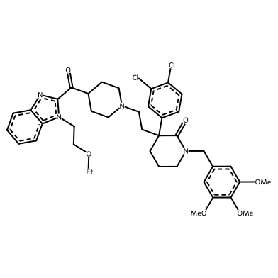 CCOCCn1c(C(=O)C2CCN(CCC3(c4ccc(Cl)c(Cl)c4)CCCN(Cc4cc(OC)c(OC)c(OC)c4)C3=O)CC2)nc2ccccc21